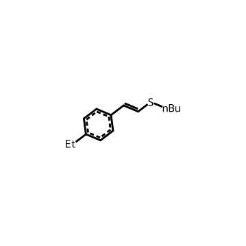 CCCCS/C=C/c1ccc(CC)cc1